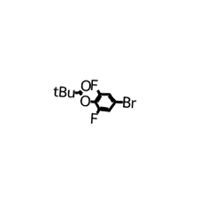 CC(C)(C)C(=O)Oc1c(F)cc(Br)cc1F